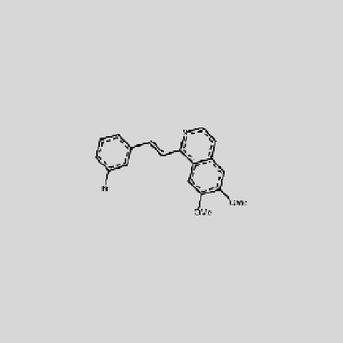 COc1cc2ccnc(/C=C/c3cccc(Br)c3)c2cc1OC